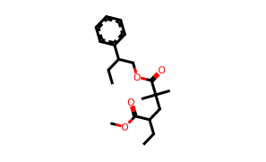 CCC(CC(C)(C)C(=O)OCC(CC)c1ccccc1)C(=O)OC